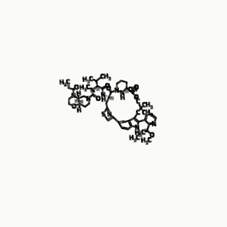 C=CC(=O)N1CCO[C@H]2CCN(C(=O)N(C)[C@H](C(=O)N[C@H]3Cc4nc(cs4)-c4ccc5c(c4)c(c(-c4cccnc4[C@H](C)OC)n5CC)CC(C)(C)COC(=O)[C@@]4(O)CCCN(N4)C3=O)C(C)C)C[C@H]21